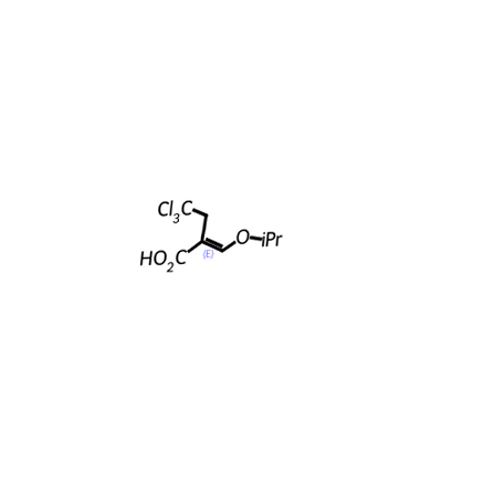 CC(C)O/C=C(\CC(Cl)(Cl)Cl)C(=O)O